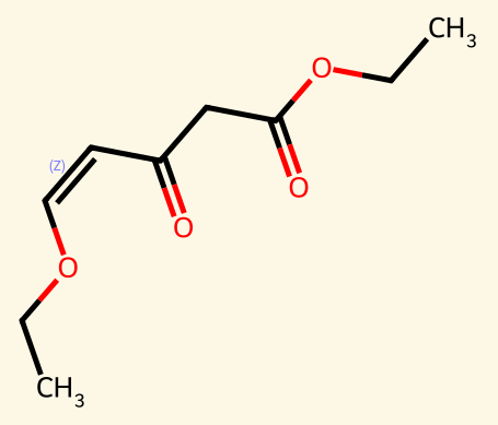 CCO/C=C\C(=O)CC(=O)OCC